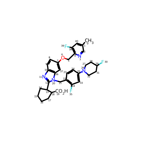 Cc1cnc(COc2ccc3nc(C4CCCCC4C(=O)O)n(Cc4ccc(N5CCC(F)CC5)cc4F)c3c2)c(F)c1